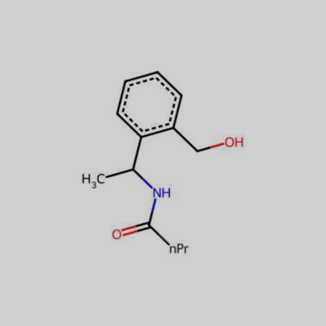 CCCC(=O)NC(C)c1ccccc1CO